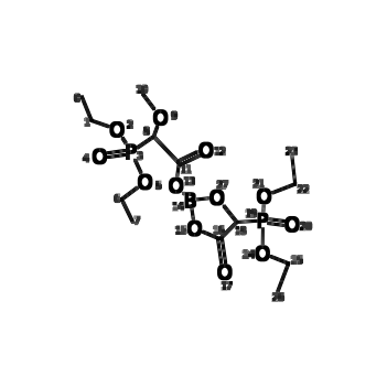 CCOP(=O)(OCC)C(OC)C(=O)OB1OC(=O)C(P(=O)(OCC)OCC)O1